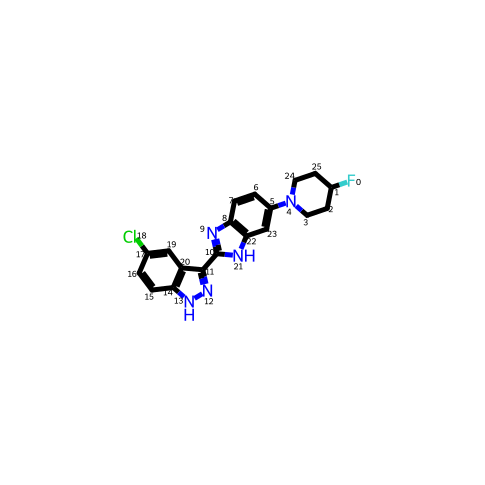 FC1CCN(c2ccc3nc(-c4n[nH]c5ccc(Cl)cc45)[nH]c3c2)CC1